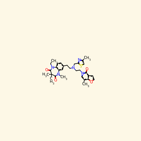 CCN1C(=O)C(C)(C)C(=O)N(C)c2cc(CCN(CCn3cc(C)c4occc4c3=O)Cc3nc(C)cs3)ccc21